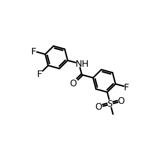 CS(=O)(=O)c1cc(C(=O)Nc2ccc(F)c(F)c2)ccc1F